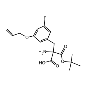 C=CCOc1cc(F)cc(CC(N)(C(=O)O)C(=O)OC(C)(C)C)c1